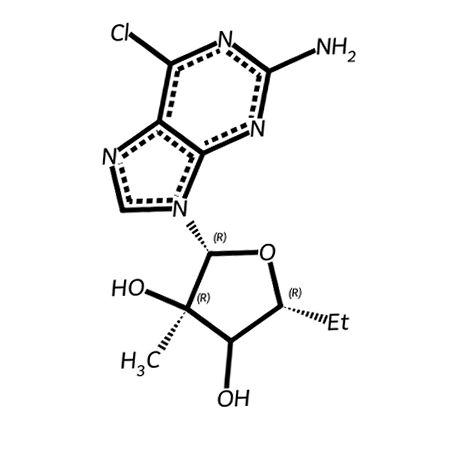 CC[C@H]1O[C@@H](n2cnc3c(Cl)nc(N)nc32)[C@](C)(O)C1O